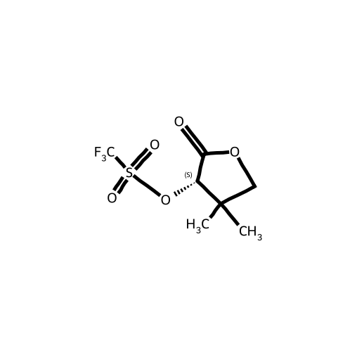 CC1(C)COC(=O)[C@H]1OS(=O)(=O)C(F)(F)F